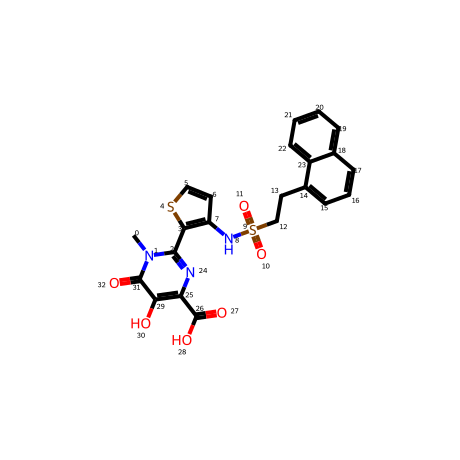 Cn1c(-c2sccc2NS(=O)(=O)CCc2cccc3ccccc23)nc(C(=O)O)c(O)c1=O